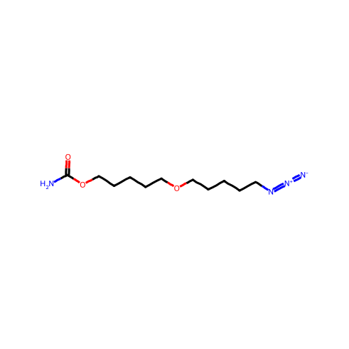 [N-]=[N+]=NCCCCCOCCCCCOC(N)=O